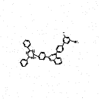 Cc1cc(C#N)cc(-c2ccc(-c3cc(-c4ccc(C5=NC(c6ccccc6)=NC(c6ccccc6)N5)cc4)cc4ccccc34)cc2)c1